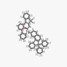 CC1(C)C2=CC(N(c3ccc4ccc5c(c4c3)-c3ccccc3C5(c3ccccc3)c3ccccc3)c3ccccc3-c3ccccc3)=CCC2c2ccccc21